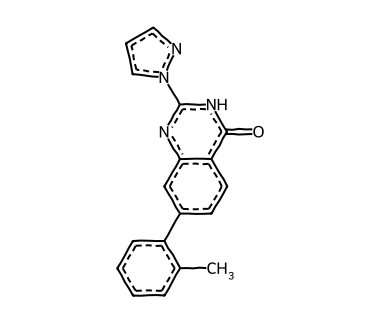 Cc1ccccc1-c1ccc2c(=O)[nH]c(-n3cccn3)nc2c1